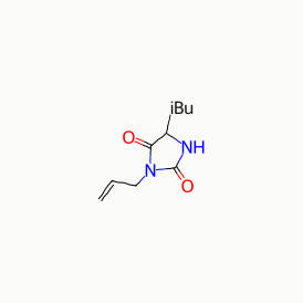 C=CCN1C(=O)NC(C(C)CC)C1=O